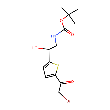 CC(C)(C)OC(=O)NCC(O)c1ccc(C(=O)CBr)s1